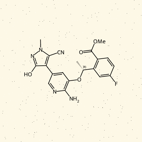 COC(=O)c1ccc(F)cc1[C@@H](C)Oc1cc(-c2c(O)nn(C)c2C#N)cnc1N